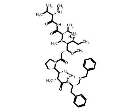 CC[C@H](C)[C@@H]([C@@H](CC(=O)N1CCC[C@H]1[C@H](OC)[C@@H](C)C(=O)N[C@H](COCc1ccccc1)Cc1ccccc1)OC)N(C)[C@H](C(=O)NC(=O)[C@@H](NC)C(C)C)C(C)C